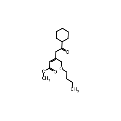 CCCCOC/C(=C\C(=O)OC)CC(=O)C1CCCCC1